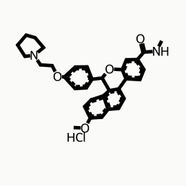 CNC(=O)c1ccc2c(c1)OC(c1ccc(OCCN3CCCCC3)cc1)c1c-2ccc2cc(OC)ccc12.Cl